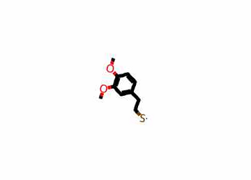 COc1ccc(CC[S])cc1OC